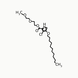 CCCCCCCCCCCCOc1c[nH]c(C(=O)OCCOCCOCC)c1Cl